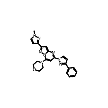 Cn1ccc(-c2cc3nc(-n4ccc(-c5ccccc5)n4)cc(N4CCOCC4)n3n2)n1